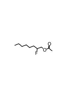 CCCCCCC(F)COC(C)=O